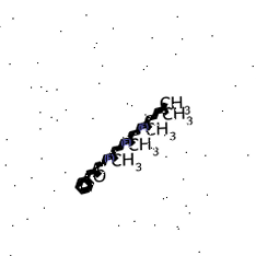 CC(C)=CCC/C(C)=C/CC/C(C)=C/CC/C(C)=C/CCC(=O)Cc1ccccc1